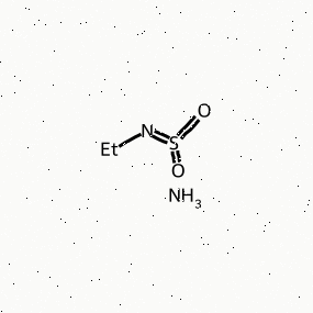 CCN=S(=O)=O.N